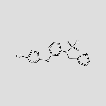 CCS(=O)(=O)N(Cc1cccnc1)c1cccc(Oc2ccc(C)cc2)c1